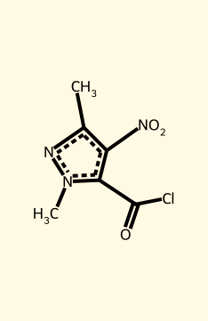 Cc1nn(C)c(C(=O)Cl)c1[N+](=O)[O-]